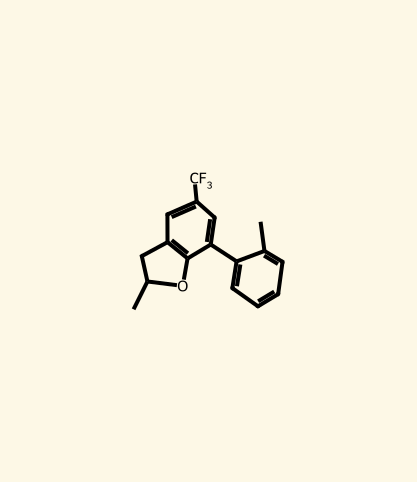 Cc1ccccc1-c1cc(C(F)(F)F)cc2c1OC(C)C2